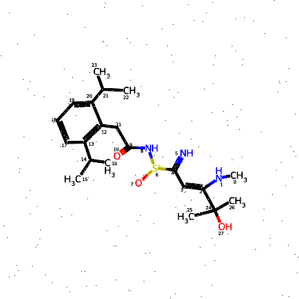 CN/C(=C\C(=N)[S+]([O-])NC(=O)Cc1c(C(C)C)cccc1C(C)C)C(C)(C)O